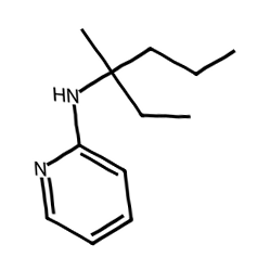 CCCC(C)(CC)Nc1ccccn1